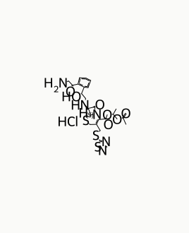 CC(=O)OC(C)OC(=O)C1=C(CSc2ncns2)CS[C@H]2C(NCC(O)c3ccccc3C(=O)CN)C(=O)N12.Cl